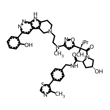 Cc1ncsc1-c1ccc(CNC(=O)[C@@H]2C[C@@H](O)CN2C(=O)[C@](C)(c2cc(N(C)CCN3CCc4[nH]c5nnc(-c6ccccc6O)cc5c4C3)no2)C(C)C)cc1